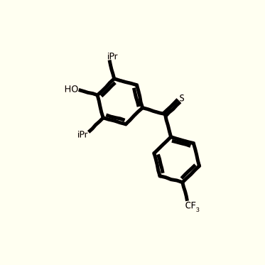 CC(C)c1cc(C(=S)c2ccc(C(F)(F)F)cc2)cc(C(C)C)c1O